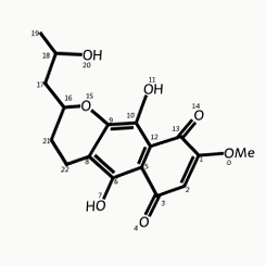 COC1=CC(=O)c2c(O)c3c(c(O)c2C1=O)OC(CC(C)O)CC3